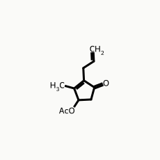 C=CCC1=C(C)C(OC(C)=O)CC1=O